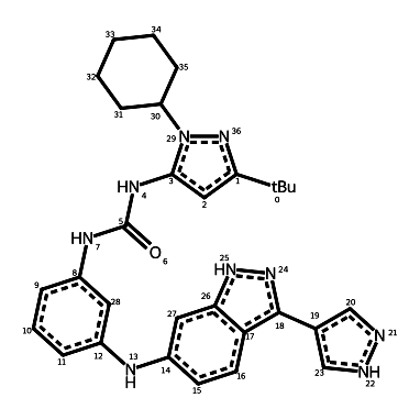 CC(C)(C)c1cc(NC(=O)Nc2cccc(Nc3ccc4c(-c5cn[nH]c5)n[nH]c4c3)c2)n(C2CCCCC2)n1